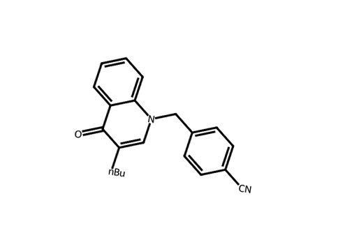 CCCCc1cn(Cc2ccc(C#N)cc2)c2ccccc2c1=O